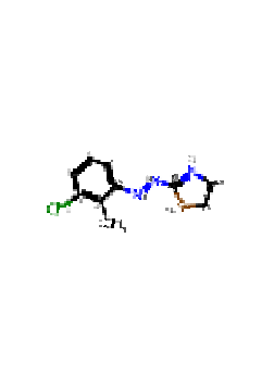 Cc1c(Cl)cccc1N=NC1=NCCS1